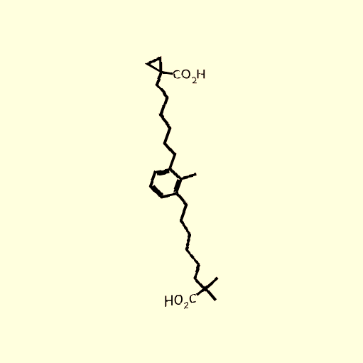 Cc1c(CCCCCCC(C)(C)C(=O)O)cccc1CCCCCCC1(C(=O)O)CC1